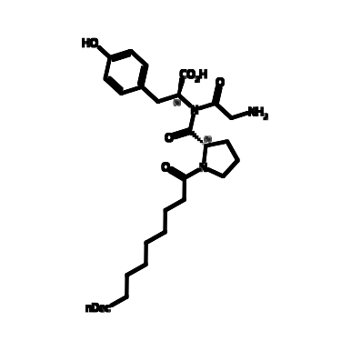 CCCCCCCCCCCCCCCCCC(=O)N1CCC[C@H]1C(=O)N(C(=O)CN)[C@@H](Cc1ccc(O)cc1)C(=O)O